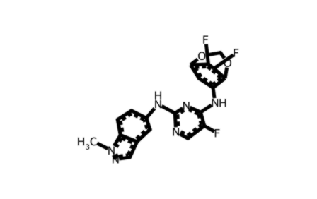 Cn1ncc2cc(Nc3ncc(F)c(Nc4cc5c(F)c(F)c4OCO5)n3)ccc21